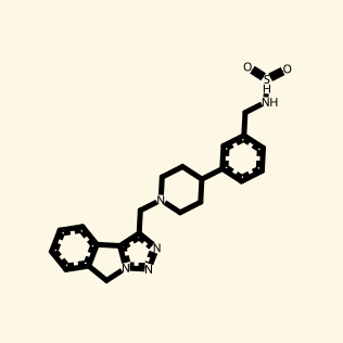 O=[SH](=O)NCc1cccc(C2CCN(Cc3nnn4c3-c3ccccc3C4)CC2)c1